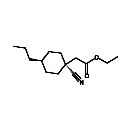 CCC[C@H]1CC[C@@](C#N)(CC(=O)OCC)CC1